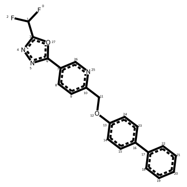 FC(F)c1nnc(-c2ccc(COc3ccc(-c4ccccc4)cc3)nc2)o1